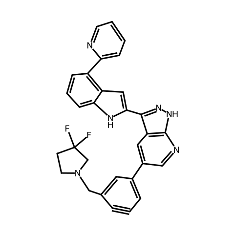 FC1(F)CCN(Cc2c#ccc(-c3cnc4[nH]nc(-c5cc6c(-c7ccccn7)cccc6[nH]5)c4c3)c2)C1